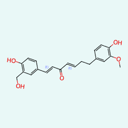 COc1cc(CC/C=C/C(=O)/C=C/c2ccc(O)c(CO)c2)ccc1O